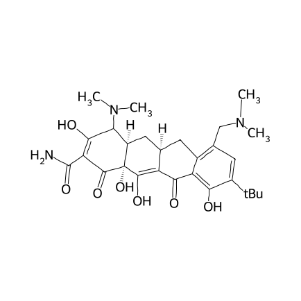 CN(C)Cc1cc(C(C)(C)C)c(O)c2c1C[C@@H]1C[C@@H]3C(N(C)C)C(O)=C(C(N)=O)C(=O)[C@]3(O)C(O)=C1C2=O